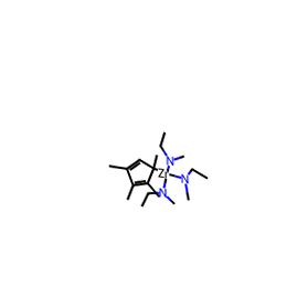 CC[N](C)[Zr]([N](C)CC)([N](C)CC)[C]1(C)C=C(C)C(C)=C1C